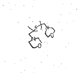 CC(C)(CN1CCOCC1)SC(C)(C)CN1CCOCC1